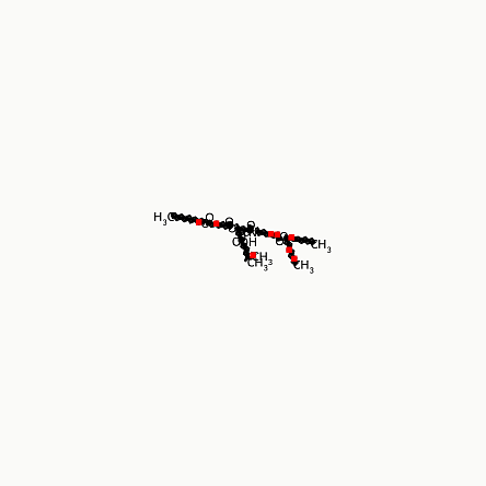 CCCCCCCCCCOC(=O)CCCCCC(=O)OCC(COC(=O)NCCCCCCCC(=O)OC(CCCCCCCC)CCCCCCCC)COC(=O)OCCCN(CC)CC